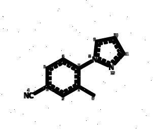 Cc1cc(C#N)ccc1-n1c[c]cn1